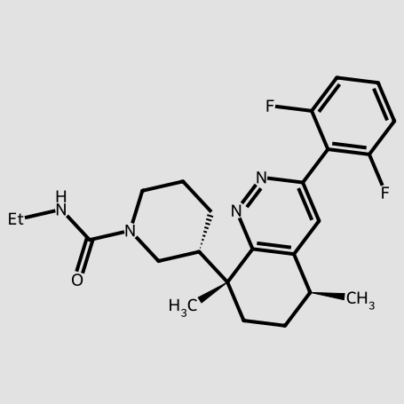 CCNC(=O)N1CCC[C@H]([C@@]2(C)CC[C@H](C)c3cc(-c4c(F)cccc4F)nnc32)C1